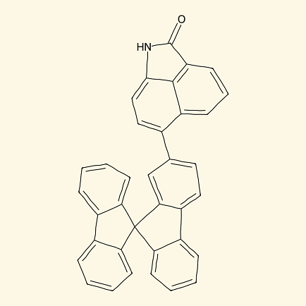 O=C1Nc2ccc(-c3ccc4c(c3)C3(c5ccccc5-c5ccccc53)c3ccccc3-4)c3cccc1c23